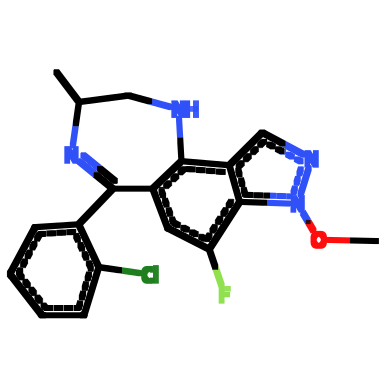 COn1ncc2c3c(cc(F)c21)C(c1ccccc1Cl)=NC(C)CN3